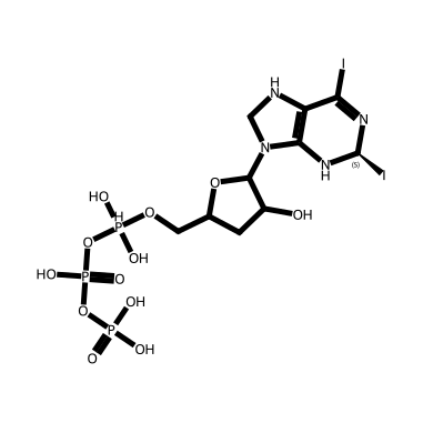 O=P(O)(O)OP(=O)(O)O[PH](O)(O)OCC1CC(O)C(N2CNC3=C2N[C@H](I)N=C3I)O1